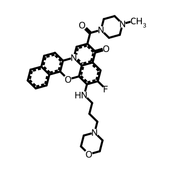 CN1CCN(C(=O)c2cn3c4c(c(NCCCN5CCOCC5)c(F)cc4c2=O)Oc2c-3ccc3ccccc23)CC1